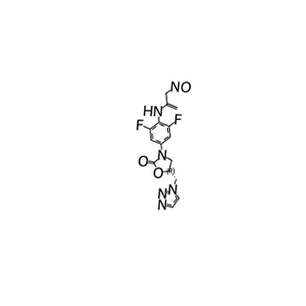 C=C(CN=O)Nc1c(F)cc(N2C[C@H](Cn3ccnn3)OC2=O)cc1F